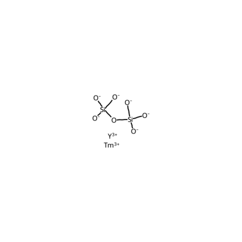 [O-][Si]([O-])([O-])O[Si]([O-])([O-])[O-].[Tm+3].[Y+3]